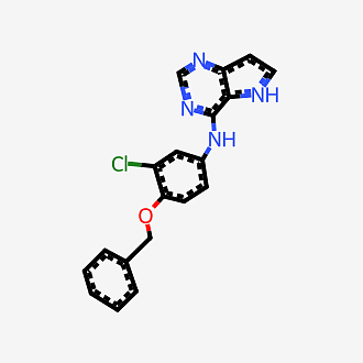 Clc1cc(Nc2ncnc3cc[nH]c23)ccc1OCc1ccccc1